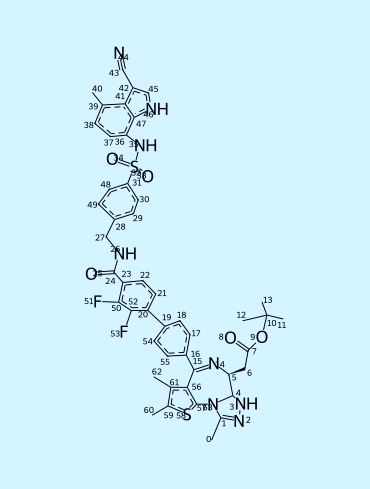 CC1=NNC2[C@H](CC(=O)OC(C)(C)C)N=C(c3ccc(-c4ccc(C(=O)NCc5ccc(S(=O)(=O)Nc6ccc(C)c7c(C#N)c[nH]c67)cc5)c(F)c4F)cc3)c3c(sc(C)c3C)N12